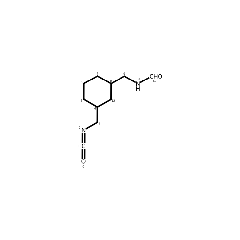 O=C=NCC1CCCC(CNC=O)C1